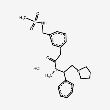 CN(C(=O)Cc1cccc(CNS(C)(=O)=O)c1)C(CN1CCCC1)c1ccccc1.Cl